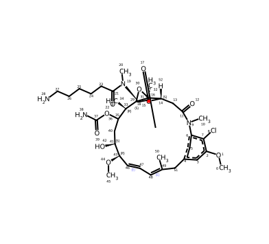 COc1cc2cc(c1Cl)N(C)C(=O)C[C@@H]1OC(=O)[C@@H](N(C)C(=O)CCCCCN)C3(O[C@@]13C)[C@H](C)C(OC(N)=O)C[C@H](O)[C@H](OC)/C=C/C=C(\C)C2